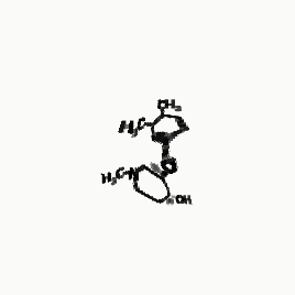 Cc1ccc(O[C@@H]2CN(C)CC[C@H]2O)cc1C